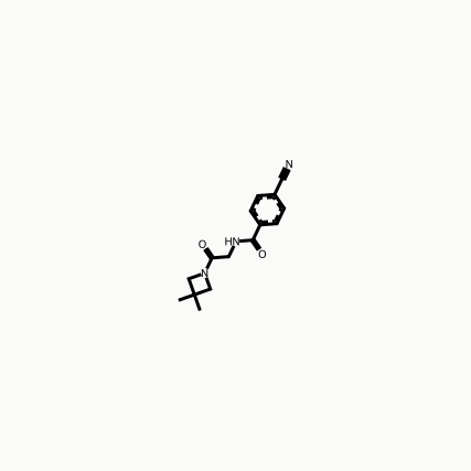 CC1(C)CN(C(=O)CNC(=O)c2ccc(C#N)cc2)C1